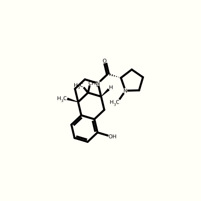 CN1CCC[C@H]1C(=O)N1CC[C@@]2(C)c3cccc(O)c3C[C@@H]1C2(C)C